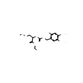 COc1cc(COC(=O)NC(CSSC(C)(C)C)C(=O)OCC#N)c([N+](=O)[O-])cc1OC